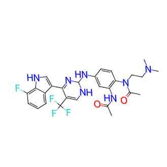 CC(=O)Nc1cc(NC2N=C(c3c[nH]c4c(F)cccc34)C(C(F)(F)F)=CN2)ccc1N(CCN(C)C)C(C)=O